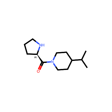 CC(C)C1CCN(C(=O)[C@H]2CCCN2)CC1